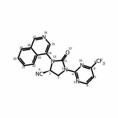 N#C[C@@H]1CN(c2nccc(C(F)(F)F)n2)C(=O)N1c1cncc2ccccc12